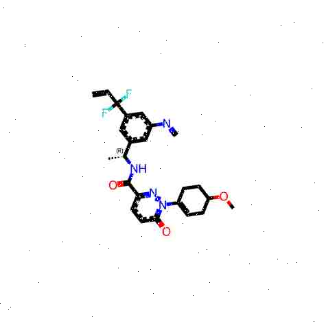 C=CC(F)(F)c1cc(N=C)cc([C@@H](C)NC(=O)c2ccc(=O)n(C3=CCC(OC)CC3)n2)c1